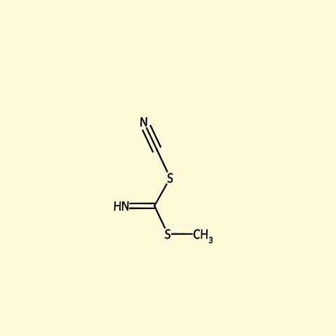 CSC(=N)SC#N